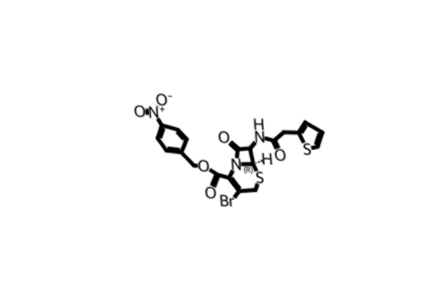 O=C(Cc1cccs1)NC1C(=O)N2C(C(=O)OCc3ccc([N+](=O)[O-])cc3)=C(Br)CS[C@H]12